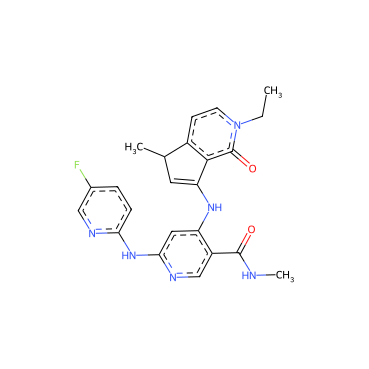 CCn1ccc2c(c1=O)C(Nc1cc(Nc3ccc(F)cn3)ncc1C(=O)NC)=CC2C